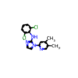 Cc1cnc(-n2ccnc2Nc2c(Cl)cccc2Cl)cc1C